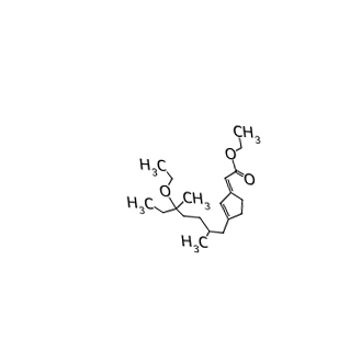 CCOC(=O)/C=C1/C=C(CC(C)CCC(C)(CC)OCC)CC1